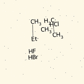 Br.C[CH]C.Cl.F.[CH2]C.[CH3]